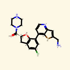 NCc1cc2nccc(-c3cc(Cl)cc4c3O[C@@H](C(=O)N3CCNCC3)C4)c2s1